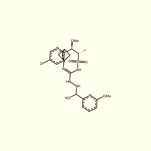 COc1cccc(C(O)NN/C(=N/C23CC(C2)C3)NS(=O)(=O)[C@@H](C)[C@H](OC)c2ncc(Cl)cn2)n1